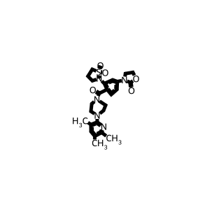 Cc1cc(C)c(N2CCN(C(=O)c3ccc(N4CCOC4=O)cc3N3CCCS3(=O)=O)CC2)nc1C